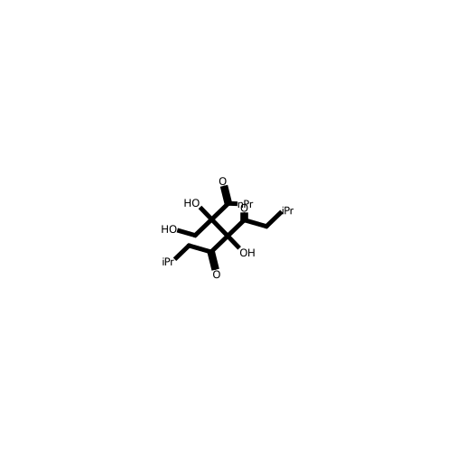 CCCC(=O)C(O)(CO)C(O)(C(=O)CC(C)C)C(=O)CC(C)C